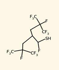 FC(S)C(CC(F)(C(F)(F)F)C(F)(F)F)CC(F)(C(F)(F)F)C(F)(F)F